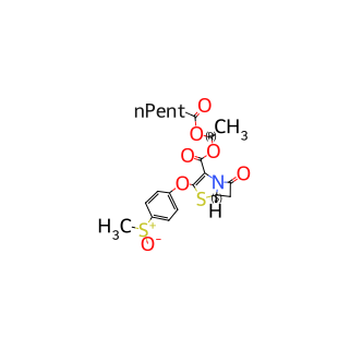 CCCCCC(=O)O[C@@H](C)OC(=O)C1=C(Oc2ccc([S+](C)[O-])cc2)S[C@H]2CC(=O)N12